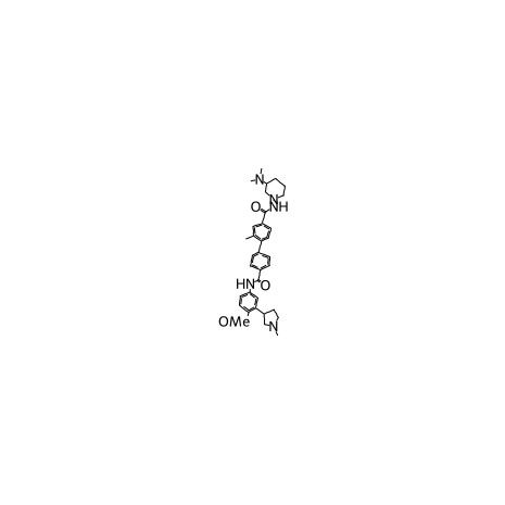 COc1ccc(NC(=O)c2ccc(-c3ccc(C(=O)NN4CCCC(N(C)C)C4)cc3C)cc2)cc1C1CCN(C)C1